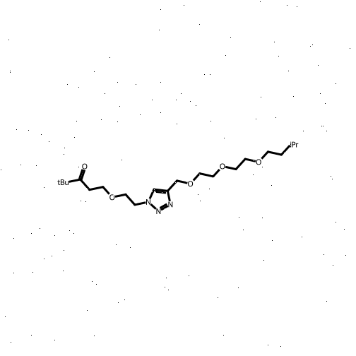 CC(C)CCOCCOCCOCc1cn(CCOCCC(=O)C(C)(C)C)nn1